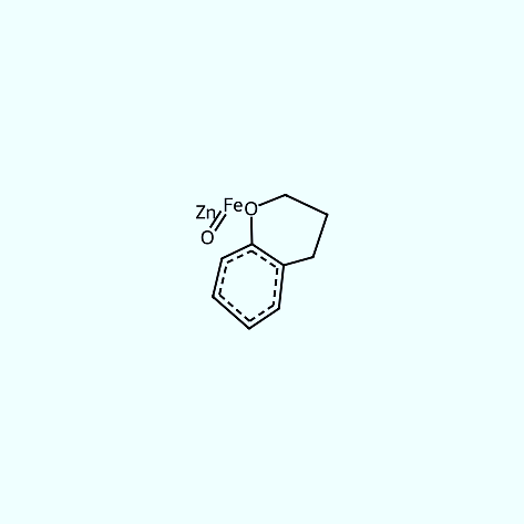 [O]=[Fe].[Zn].c1ccc2c(c1)CCCO2